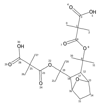 CC(C)(C(=O)O)C(=O)OC(C)(C)C1C2CCC(O2)C1C(C)(C)OC(=O)C(C)(C)C(=O)O